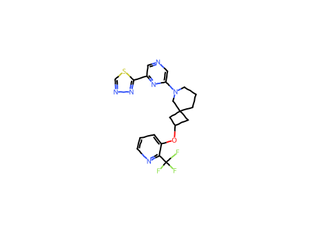 FC(F)(F)c1ncccc1OC1CC2(CCCN(c3cncc(-c4nncs4)n3)C2)C1